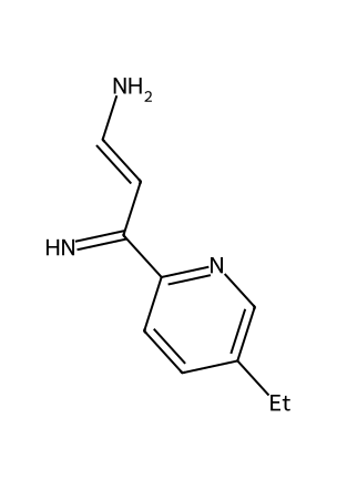 CCc1ccc(C(=N)/C=C/N)nc1